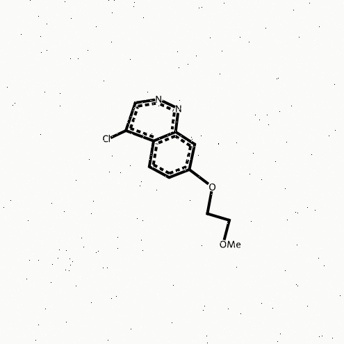 COCCOc1ccc2c(Cl)cnnc2c1